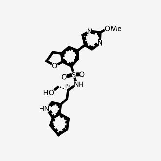 COc1ncc(-c2cc3c(c(S(=O)(=O)N[C@@H](CO)Cc4c[nH]c5ccccc45)c2)OCC3)cn1